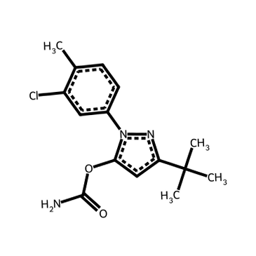 Cc1ccc(-n2nc(C(C)(C)C)cc2OC(N)=O)cc1Cl